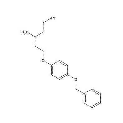 CC(C)CCC(C)CCOc1ccc(OCc2ccccc2)cc1